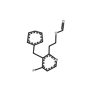 O=COCCc1nccc(F)c1Cc1ccccc1